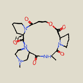 CC1NC(=O)C2CN(C)CCN2C(=O)[C@@H]2CCCN2C(=O)CCOC(=O)C2CCCN2C1=O